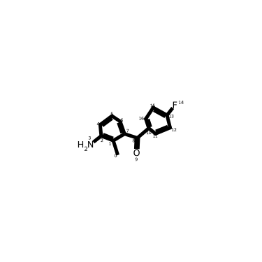 Cc1c(N)cccc1C(=O)c1ccc(F)cc1